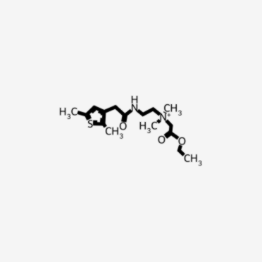 CCOC(=O)C[N+](C)(C)CCNC(=O)Cc1cc(C)sc1C